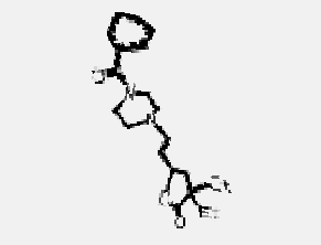 CCC1(CC)CC(CCN2CCN(C(=O)c3ccccc3)CC2)OC1=O